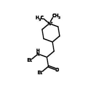 CCNC(CC1CC[N+](C)(C)CC1)C(=O)CC